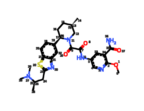 COc1ncc(NC(=O)C(=O)N2C[C@@H](C)CC[C@@H]2c2ccc3sc(C[C@@H](C)N(C)C)nc3c2)cc1C(N)=O